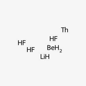 F.F.F.[BeH2].[LiH].[Th]